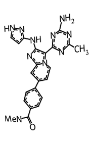 CNC(=O)c1ccc(-c2ccn3c(-c4nc(C)nc(N)n4)c(Nc4cc[nH]n4)nc3c2)cc1